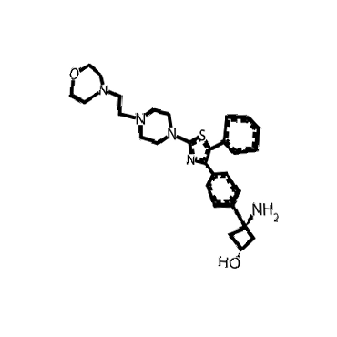 N[C@]1(c2ccc(-c3nc(N4CCN(CCN5CCOCC5)CC4)sc3-c3ccccc3)cc2)C[C@@H](O)C1